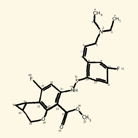 CCN(CC)C/C=C\c1cc(F)ccc1SNc1cc(F)c2c(c1C(=O)OC)OCC1CC21